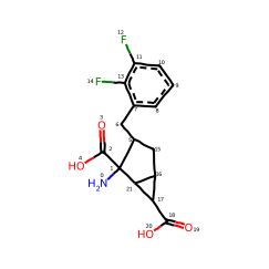 NC1(C(=O)O)C(Cc2cccc(F)c2F)CC2C(C(=O)O)C21